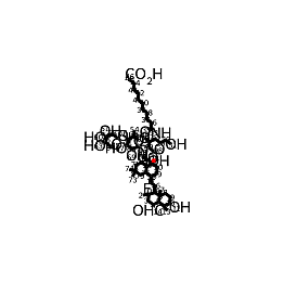 CCC1(C)CCC2C(C)(CC[C@H](O)C2(C)C=O)C1C/C=C1\CCC(O)[C@@]2(C(=O)O[C@@H]3OC(CO)[C@H](NC(=O)CCCCCCCCCCC(=O)O)C(O)C3O[C@@H]3OC(C)[C@H](O[C@H]4CC(O)(O)[C@H](O)CO4)C(O)C3O)CCC(C)(C)CC12